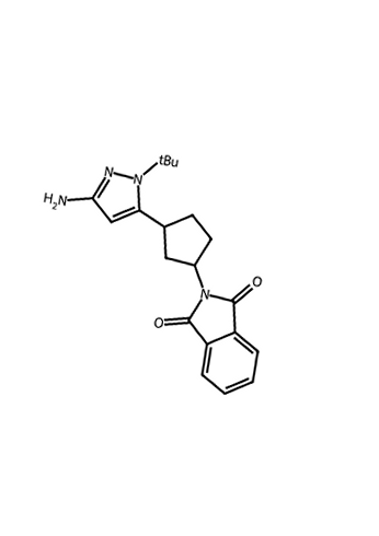 CC(C)(C)n1nc(N)cc1C1CCC(N2C(=O)c3ccccc3C2=O)C1